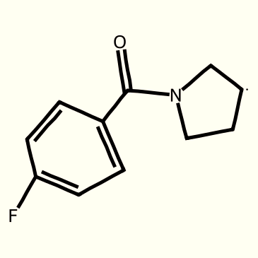 O=C(c1ccc(F)cc1)N1C[CH]CC1